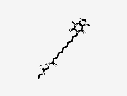 CCOC(=O)CNC(=O)CCCCCCCCCCn1c(=O)c2c(ncn2C)n(C)c1=O